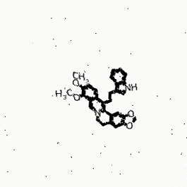 COc1ccc2c(CCc3c[nH]c4ccccc34)c3[n+](cc2c1OC)CCc1cc2c(cc1-3)OCO2